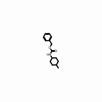 CC1CCC(NC(=O)OCc2ccccc2)CC1